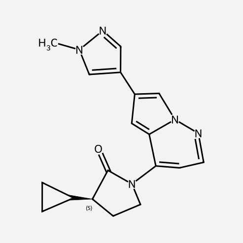 Cn1cc(-c2cc3c(N4CC[C@@H](C5CC5)C4=O)ccnn3c2)cn1